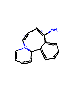 N/C1=C/C=C\N2C=CC=CC2c2ccccc21